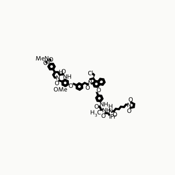 CNS(=O)(=O)c1ccc(C2=CCN3C(=O)c4cc(OC)c(OCc5cccc(CC(=O)N6C[C@@H](CCl)c7c6cc(OCc6ccc(NC(=O)[C@H](C)NC(=O)C(NC(=O)CCCCCN8C(=O)C=CC8=O)C(C)C)cc6)c6ccccc76)c5)cc4NC(=O)[C@@H]3C2)cc1